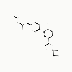 C=C/N=C(C)\C=C1\C=CC(c2cc(C(=C)NC3(CC)CCC3)ccc2C)=CC1